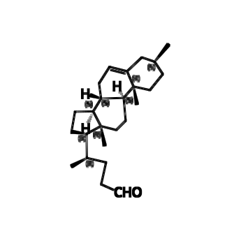 C[C@H]1CC[C@@]2(C)C(=CC[C@H]3[C@@H]4CC[C@H]([C@H](C)CCC=O)[C@@]4(C)CC[C@@H]32)C1